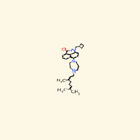 CC(C)=CCCC(C)=CCN1CCCN(c2ccc3c4c(cccc24)C(=O)N3CC2CCC2)CC1